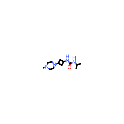 CC(C)NC(=O)NC1CC(N2CCN(C)CC2)C1